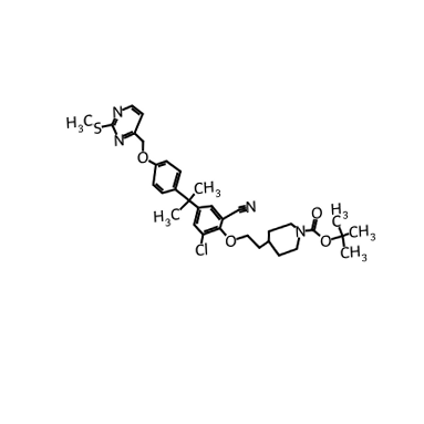 CSc1nccc(COc2ccc(C(C)(C)c3cc(Cl)c(OCCC4CCN(C(=O)OC(C)(C)C)CC4)c(C#N)c3)cc2)n1